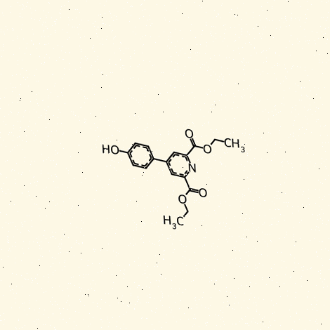 CCOC(=O)c1cc(-c2ccc(O)cc2)cc(C(=O)OCC)n1